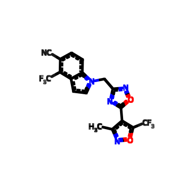 Cc1noc(C(F)(F)F)c1-c1nc(Cn2ccc3c(C(F)(F)F)c(C#N)ccc32)no1